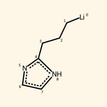 [Li][CH2]CCc1ncc[nH]1